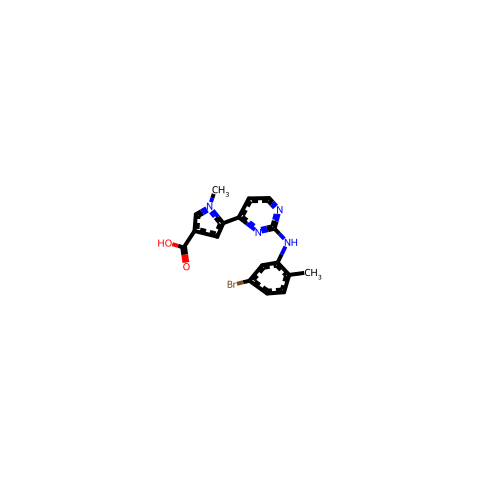 Cc1ccc(Br)cc1Nc1nccc(-c2cc(C(=O)O)cn2C)n1